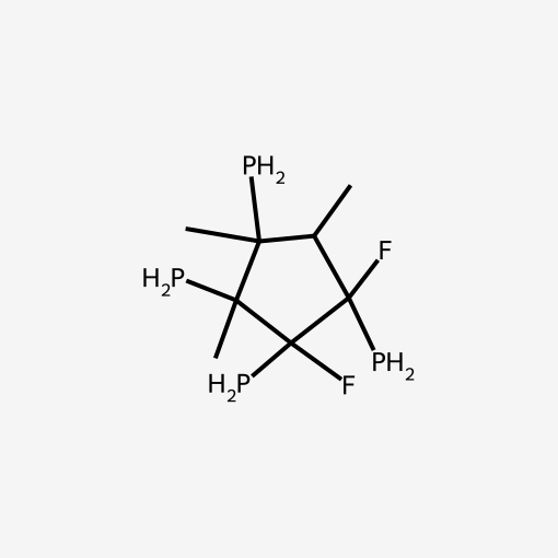 CC1C(C)(P)C(C)(P)C(F)(P)C1(F)P